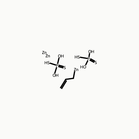 C=C[CH2][Zn].OP(O)(=S)S.OP(O)(=S)S.[Zn].[Zn]